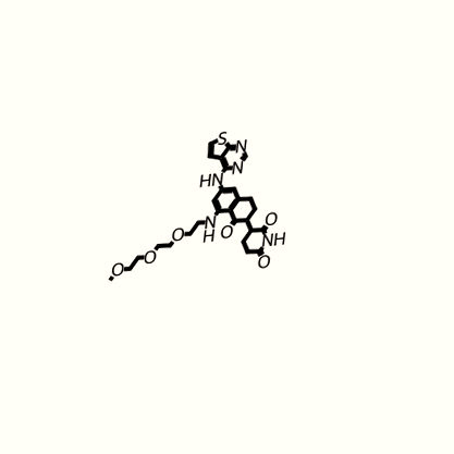 COCCOCCOCCNc1cc(Nc2ncnc3sccc23)cc2c1C(=O)C(C1CCC(=O)NC1=O)CC2